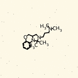 CN(C)CCCN1CC2COc3ccccc3N2C1(C)C